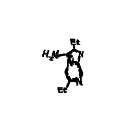 CCc1cn2c(N)c(CC)nc2cn1